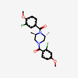 COc1ccc(C(=O)N2C[C@@H](C)N(C(=O)c3ccc(OC)c(F)c3)[C@H](C)C2)c(F)c1